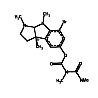 CNC(=O)N(C)C(=O)Oc1cc(Br)c2c(c1)[C@]1(C)CCN(C)C1N2C